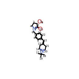 CO[C@H]1CCN(Cc2ccc(C=C3CCN(C(C)(C)C)CC3)cc2)C1=O